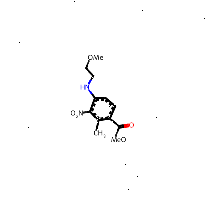 COCCNc1ccc(C(=O)OC)c(C)c1[N+](=O)[O-]